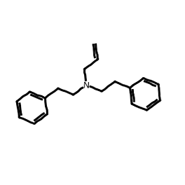 C=CCN(CCc1ccccc1)CCc1ccccc1